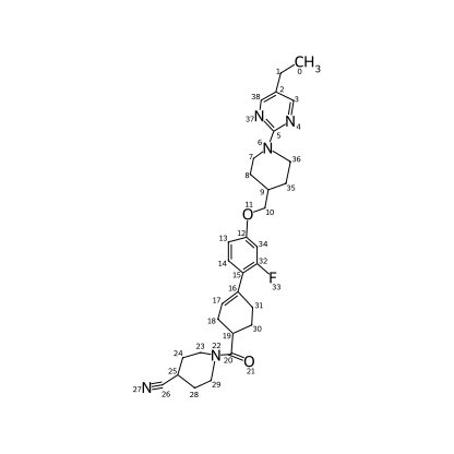 CCc1cnc(N2CCC(COc3ccc(C4=CCC(C(=O)N5CCC(C#N)CC5)CC4)c(F)c3)CC2)nc1